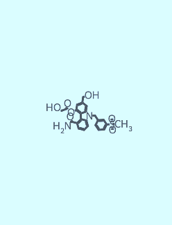 CS(=O)(=O)c1cccc(Cn2c3cc(CO)cc(OC(=O)CO)c3c3c(C(N)=O)cccc32)c1